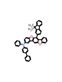 CC1(C)c2ccccc2-c2ccc(-c3c4oc5ccc(N(c6ccccc6)c6ccc(-c7ccccc7)cc6)cc5c4cc4oc5ccccc5c34)cc21